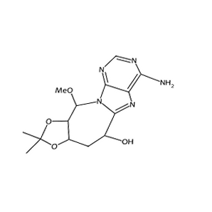 COC1C2OC(C)(C)OC2CC(O)c2nc3c(N)ncnc3n21